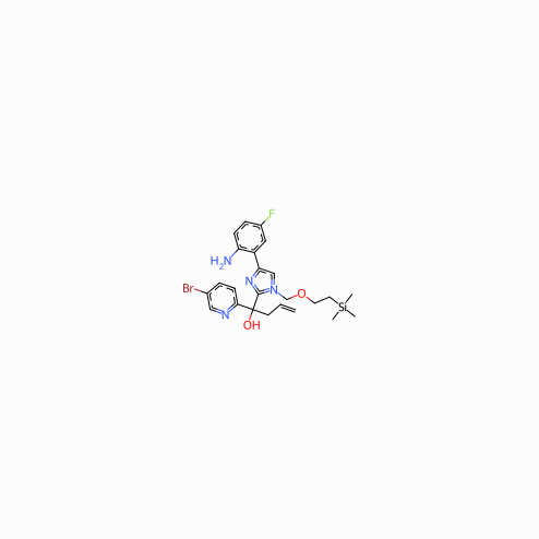 C=CCC(O)(c1ccc(Br)cn1)c1nc(-c2cc(F)ccc2N)cn1COCC[Si](C)(C)C